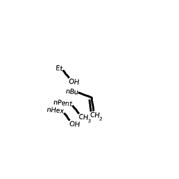 C=CCCCC.CCCCCC.CCCCCCO.CCO